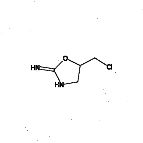 N=C1NCC(CCl)O1